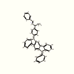 NC(/N=C/c1ccccc1)c1ccc(-n2c3ccccc3c3cc4c(cc32)c2ccccc2n4-c2ccccc2)cc1